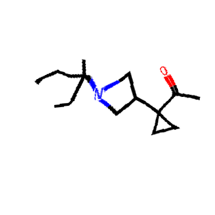 CCC(C)(CC)N1CC(C2(C(C)=O)CC2)C1